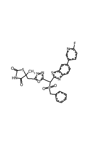 CC1(Cc2nnc(C(c3nc4ccc(-c5ccc(F)nc5)cc4s3)S(=O)(=O)Cc3ccccc3)o2)SC(=O)NC1=O